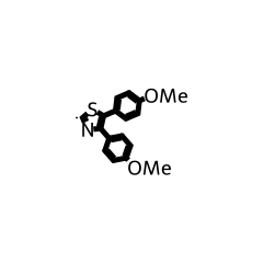 COc1ccc(-c2n[c]sc2-c2ccc(OC)cc2)cc1